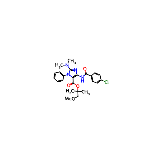 COCC(C)(C)OC(=O)c1c(NC(=O)c2ccc(Cl)cc2)nc(N(C)C)n1-c1ccccc1